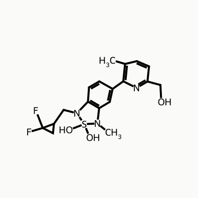 Cc1ccc(CO)nc1-c1ccc2c(c1)N(C)S(O)(O)N2CC1CC1(F)F